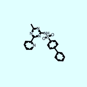 Cc1nc(NS(=O)(=O)c2ccc(-c3ccccc3)cc2)nc(-c2ccccn2)n1